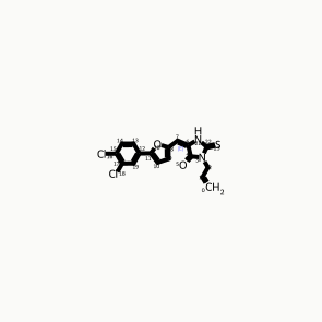 C=CCN1C(=O)/C(=C\c2ccc(-c3ccc(Cl)c(Cl)c3)o2)NC1=S